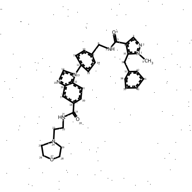 Cn1ncc(C(=O)NCc2ccc(-n3cnc4cc(C(=O)NCCN5CCOCC5)ccc43)cc2)c1Cc1ccccc1